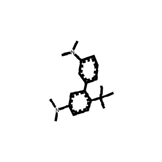 CN(C)c1cccc(-c2cc(N(C)C)ccc2C(C)(C)C)c1